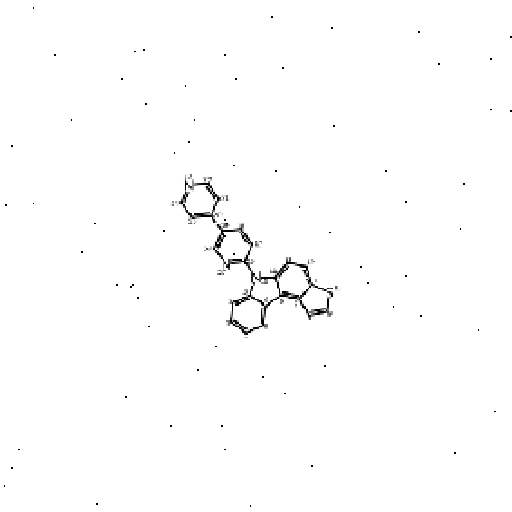 c1ccc2c(c1)c1c3ccsc3ccc1n2-c1ccc(-c2ccncc2)cn1